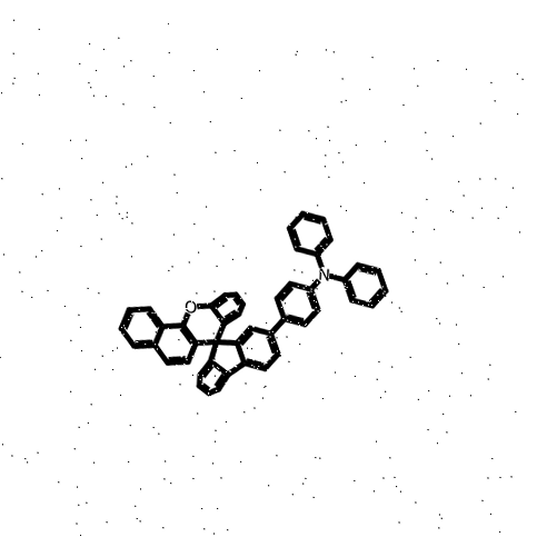 c1ccc(N(c2ccccc2)c2ccc(-c3ccc4c(c3)C3(c5ccccc5Oc5c3ccc3ccccc53)c3ccccc3-4)cc2)cc1